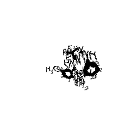 Cc1ccc(N(C)S(C)(=O)=O)c(CNc2nc(Nc3ccccc3)ncc2C(F)(F)F)c1